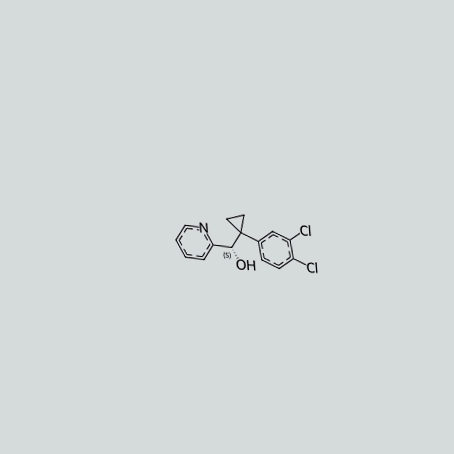 O[C@H](c1ccccn1)C1(c2ccc(Cl)c(Cl)c2)CC1